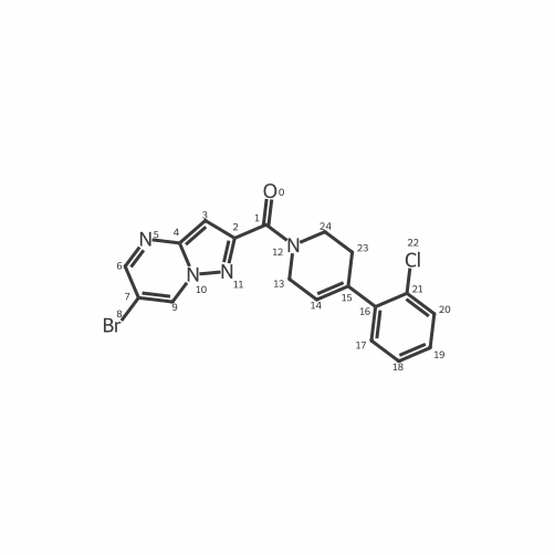 O=C(c1cc2ncc(Br)cn2n1)N1CC=C(c2ccccc2Cl)CC1